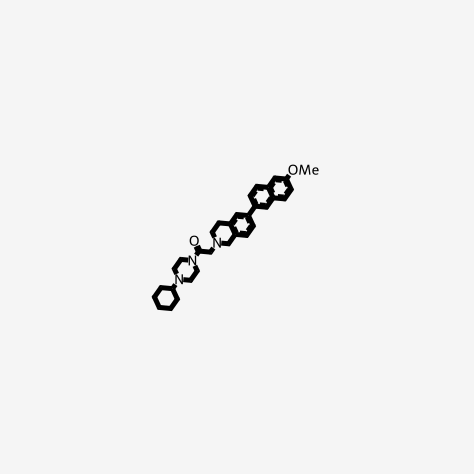 COc1ccc2cc(-c3ccc4c(c3)CCN(CC(=O)N3CCN(C5CCCCC5)CC3)C4)ccc2c1